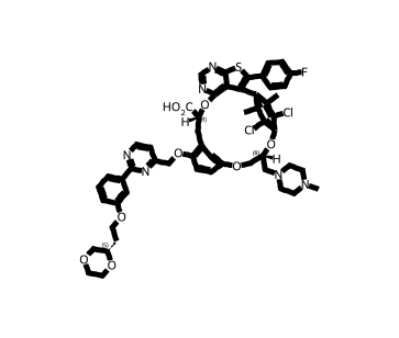 Cc1c(Cl)c2c(Cl)c(C)c1-c1c(-c3ccc(F)cc3)sc3ncnc(c13)O[C@@H](C(=O)O)Cc1cc(ccc1OCc1ccnc(-c3cccc(OCC[C@H]4COCCO4)c3)n1)OC[C@@H](CN1CCN(C)CC1)O2